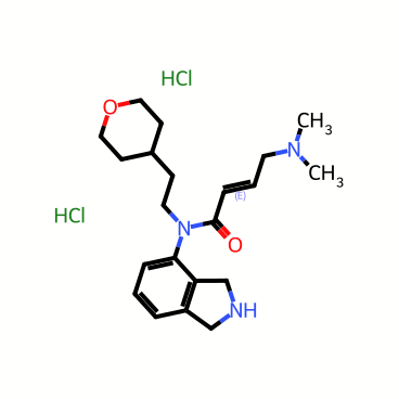 CN(C)C/C=C/C(=O)N(CCC1CCOCC1)c1cccc2c1CNC2.Cl.Cl